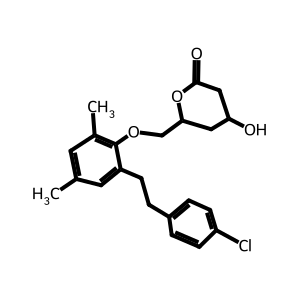 Cc1cc(C)c(OCC2CC(O)CC(=O)O2)c(CCc2ccc(Cl)cc2)c1